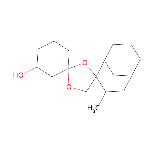 CC1CC2CCCC(C2)C12COC1(CCCC(O)C1)O2